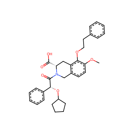 COc1ccc2c(c1OCCc1ccccc1)C[C@@H](C(=O)O)N(C(=O)[C@H](OC1CCCC1)c1ccccc1)C2